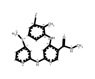 CNC(=O)c1cnc(Nc2cc(SC)ccn2)cc1Nc1cccc(F)c1C